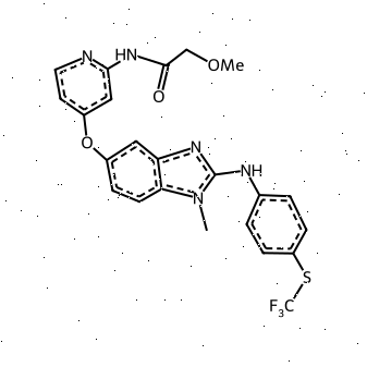 COCC(=O)Nc1cc(Oc2ccc3c(c2)nc(Nc2ccc(SC(F)(F)F)cc2)n3C)ccn1